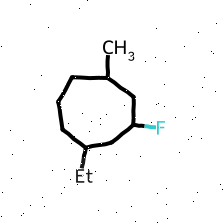 CCC1CCCC(C)CC(F)C1